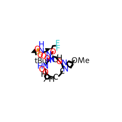 COc1ccc2nc3c(nc2c1)O[C@H]1CN(C(=O)[C@H](C(C)(C)C)NC(=O)O[C@@H]2C[C@H](C)C[C@H]2CCCCC3)[C@H](C(=O)N[C@]2(C(=O)NS(=O)(=O)C3(C)CC3)C[C@H]2CCC(F)F)[C@@H]1C